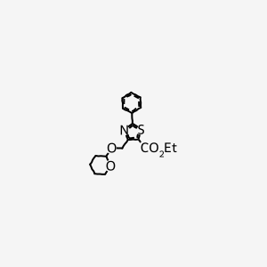 CCOC(=O)c1sc(-c2ccccc2)nc1COC1CCCCO1